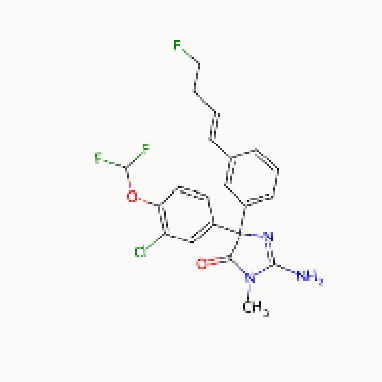 CN1C(=O)C(c2cccc(/C=C/CCF)c2)(c2ccc(OC(F)F)c(Cl)c2)N=C1N